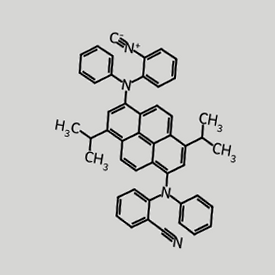 [C-]#[N+]c1ccccc1N(c1ccccc1)c1cc(C(C)C)c2ccc3c(N(c4ccccc4)c4ccccc4C#N)cc(C(C)C)c4ccc1c2c43